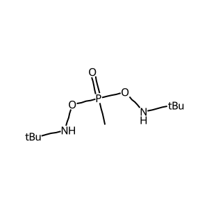 CC(C)(C)NOP(C)(=O)ONC(C)(C)C